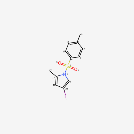 Cc1ccc(S(=O)(=O)n2cc(I)cc2C)cc1